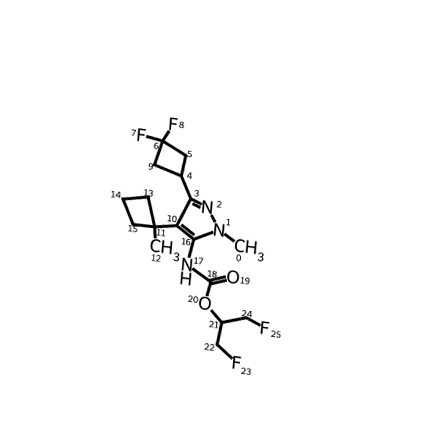 Cn1nc(C2CC(F)(F)C2)c(C2(C)CCC2)c1NC(=O)OC(CF)CF